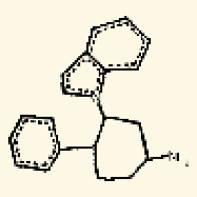 NC1CCC(c2ccccc2)C(n2ccc3ccccc32)C1